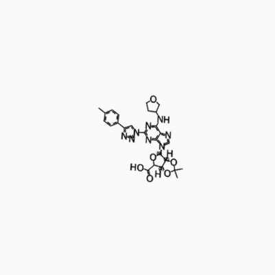 Cc1ccc(-c2cn(-c3nc(NC4CCOC4)c4ncn([C@@H]5OC(C(=O)O)[C@H]6OC(C)(C)O[C@H]65)c4n3)nn2)cc1